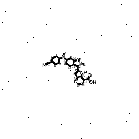 CN(c1ccc(C#N)cc1)c1ccc2c(-c3cc4nccc(C(=O)O)c4[nH]3)n(C)nc2c1